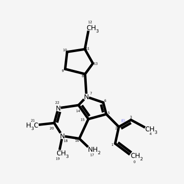 C=C/C(=C\C)c1cn(C2CCC(C)C2)c2c1C(N)N(C)C(C)=N2